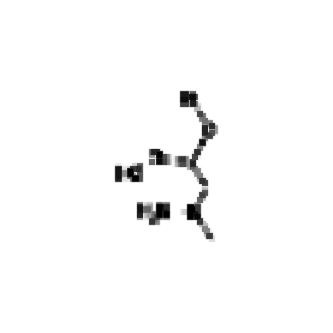 CCOC(=O)CN(C)N.Cl